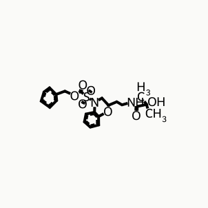 CC(C)(O)C(=O)NCCC1CN(S(=O)(=O)C(=O)OCc2ccccc2)c2ccccc2O1